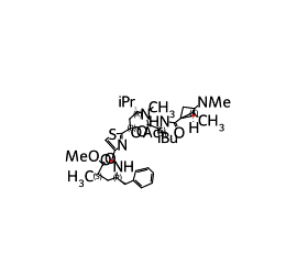 CC[C@H](C)[C@H](NC(=O)C12CC(NC)(C1)[C@H]2C)C(=O)N(C)[C@H](C[C@@H](OC(C)=O)c1nc(C(=O)N[C@@H](Cc2ccccc2)C[C@H](C)C(=O)OC)cs1)C(C)C